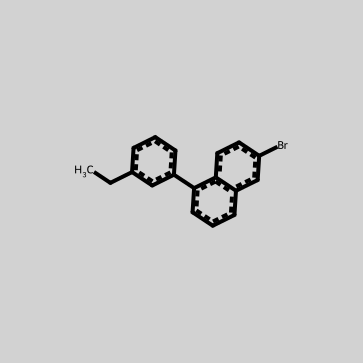 CCc1cccc(-c2cccc3cc(Br)ccc23)c1